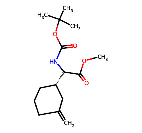 C=C1CCC[C@H](C(NC(=O)OC(C)(C)C)C(=O)OC)C1